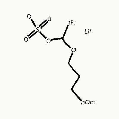 CCCCCCCCCCCOC(CCC)OS(=O)(=O)[O-].[Li+]